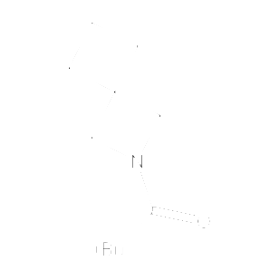 CC(C)(C)C(=O)N1CC2(CCC2)C1